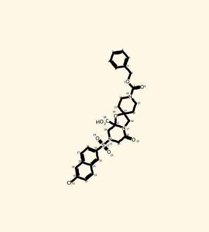 O=C(OCc1ccccc1)N1CCC2(CC1)CN1C(=O)CN(S(=O)(=O)c3ccc4cc(Cl)ccc4c3)CC1(C(=O)O)O2